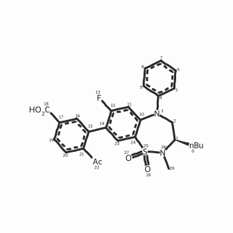 CCCC[C@@H]1CN(c2ccccc2)c2cc(F)c(-c3cc(C(=O)O)ccc3C(C)=O)cc2S(=O)(=O)N1C